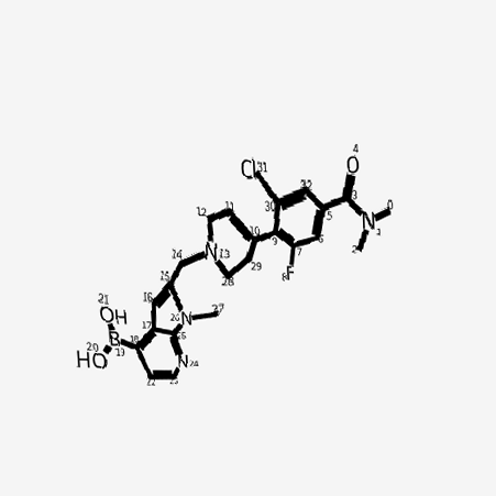 CN(C)C(=O)c1cc(F)c(C2=CCN(Cc3cc4c(B(O)O)ccnc4n3C)CC2)c(Cl)c1